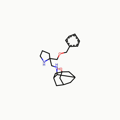 OC12CC3CC(C1)C(NCC1(COCc4ccccc4)CCCN1)C(C3)C2